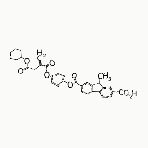 C=C(CC(=O)OC1CCCCC1)C(=O)Oc1ccc(OC(=O)c2ccc3c(c2)C(C)c2cc(C(=O)O)ccc2-3)cc1